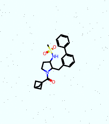 CS(=O)(=O)NC1CCN(C(=O)C23CC(C2)C3)C1Cc1cccc(-c2ccccc2)c1